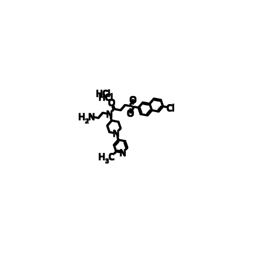 Cc1cc(N2CCC(N(CCN)C(=O)CCS(=O)(=O)c3ccc4cc(Cl)ccc4c3)CC2)ccn1.Cl.Cl